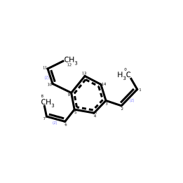 C/C=C\c1[c]c(/C=C\C)c(/C=C\C)cc1